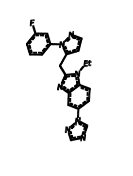 CCn1c(Cc2ccnn2-c2cccc(F)c2)nc2cc(-n3cncn3)ccc21